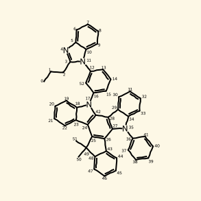 CCCc1nc2ccccc2n1-c1cccc(-n2c3ccccc3c3c4c(c5c(c6ccccc6n5-c5ccccc5)c32)-c2ccccc2C4(C)C)c1